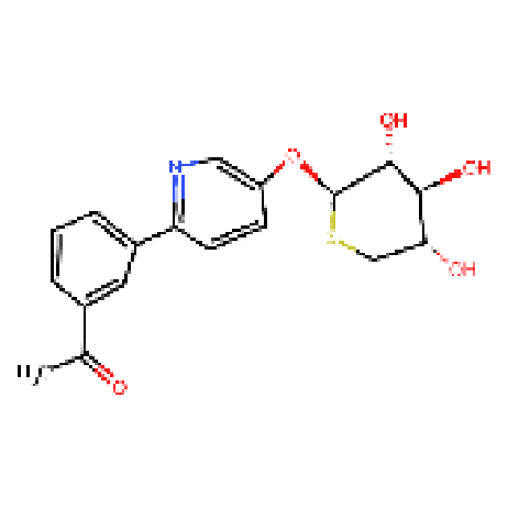 CC(=O)c1cccc(-c2ccc(O[C@@H]3SC[C@@H](O)[C@H](O)[C@H]3O)cn2)c1